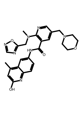 Cc1cc(O)nc2ccc(NC(=O)c3cc(CN4CCOCC4)cnc3N(C)Cc3ncno3)cc12